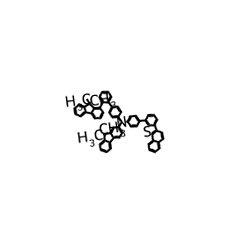 CC1(C)c2ccccc2-c2ccc(N(c3ccc(-c4ccccc4-c4cccc5c4C(C)(C)c4ccccc4-5)cc3)c3ccc(-c4cccc5c4sc4c6ccccc6ccc54)cc3)cc21